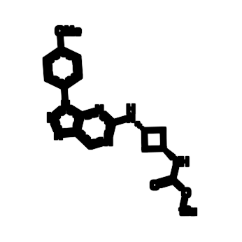 COc1ccc(-n2nnc3cnc(N[C@H]4C[C@H](NC(=O)OC(C)(C)C)C4)nc32)cc1